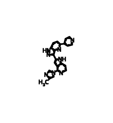 Cc1cn(-c2nccc3[nH]c(-c4n[nH]c5ccc(-c6ccncc6)nc45)cc23)cn1